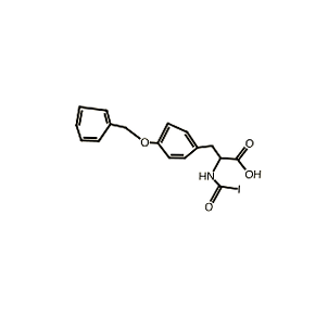 O=C(I)NC(Cc1ccc(OCc2ccccc2)cc1)C(=O)O